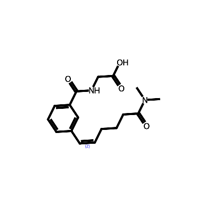 CN(C)C(=O)CCC/C=C\c1cccc(C(=O)NCC(=O)O)c1